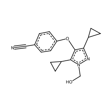 N#Cc1ccc(Oc2c(C3CC3)nn(CO)c2C2CC2)cc1